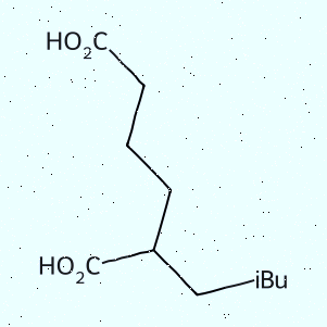 CCC(C)CC(CCCC(=O)O)C(=O)O